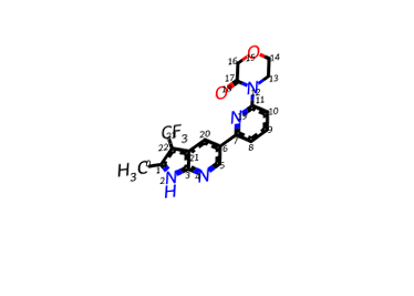 Cc1[nH]c2ncc(-c3cccc(N4CCOCC4=O)n3)cc2c1C(F)(F)F